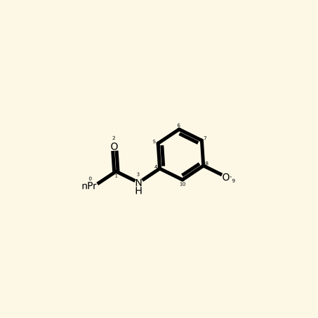 CCCC(=O)Nc1cccc([O])c1